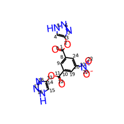 O=C(Oc1c[nH]nn1)c1cc(C(=O)Oc2c[nH]nn2)cc([N+](=O)[O-])c1